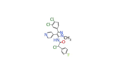 Cn1nc(-c2ccc(Cl)c(Cl)c2)c(-c2ccncc2)c1NC(=O)C(Cl)c1ccc(F)cc1